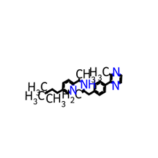 C=C(Cc1ccc(-c2nccnc2C)cc1)NC(C)c1ccc(CCC(C)(C)C)cn1